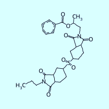 CCCN1C(=O)C2CCC(S(=O)(=O)C3CCC4C(=O)N(CC(C)OC(=O)c5ccccc5)C(=O)C4C3)CC2C1=O